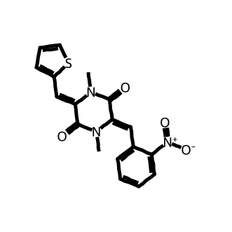 Cn1c(=O)/c(=C/c2ccccc2[N+](=O)[O-])n(C)c(=O)/c1=C/c1cccs1